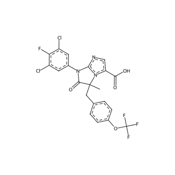 CC1(Cc2ccc(OC(F)(F)F)cc2)C(=O)N(c2cc(Cl)c(F)c(Cl)c2)c2ncc(C(=O)O)n21